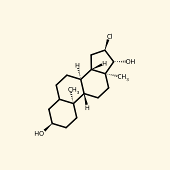 C[C@]12CC[C@H]3[C@@H](CCC4C[C@H](O)CC[C@@]43C)[C@@H]1C[C@@H](Cl)[C@@H]2O